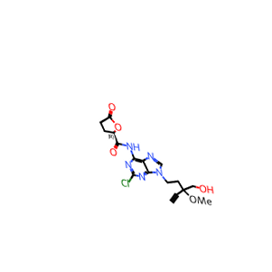 C#CC(CO)(CCn1cnc2c(NC(=O)[C@H]3CCC(=O)O3)nc(Cl)nc21)OC